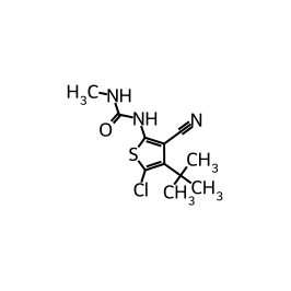 CNC(=O)Nc1sc(Cl)c(C(C)(C)C)c1C#N